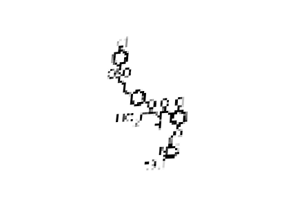 CC(C)(C)c1csc(COc2ccc(Cl)c(C(=O)NC(Oc3ccc(CCCS(=O)(=O)c4ccc(Cl)cc4)cc3)C(=O)O)c2)n1